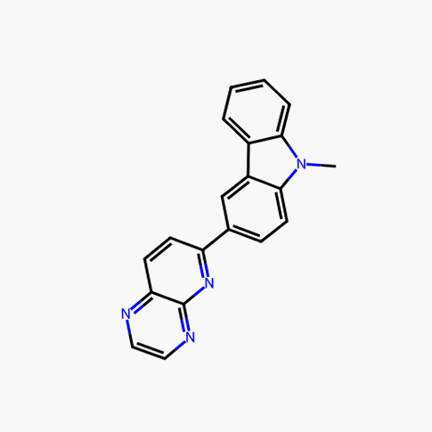 Cn1c2ccccc2c2cc(-c3ccc4nccnc4n3)ccc21